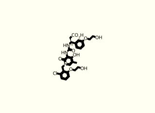 Cc1cn(Cc2c(Cl)cccc2OCCO)c(=O)c(NC(=O)N[C@@H](CC(=O)O)c2cccc(OCCO)c2)c1O